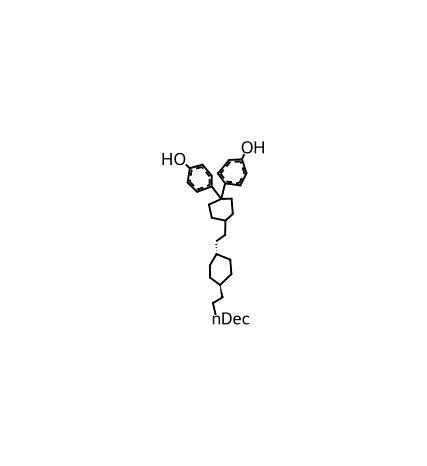 CCCCCCCCCCCC[C@H]1CC[C@H](CCC2CCC(c3ccc(O)cc3)(c3ccc(O)cc3)CC2)CC1